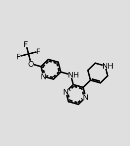 FC(F)(F)Oc1ccc(Nc2nccnc2C2=CCNCC2)cn1